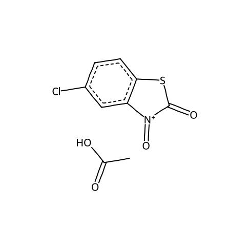 CC(=O)O.O=C1Sc2ccc(Cl)cc2[N+]1=O